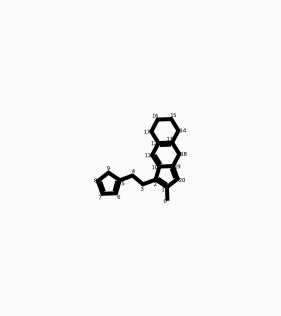 CC1=C(CCC2=CC=CC2)C2=CC3=C(CCCC3)CC2=C1